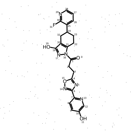 O=C(CCc1nc(-c2ccc(O)cn2)no1)n1nc(O)c2c1CCC(c1cccnc1F)C2